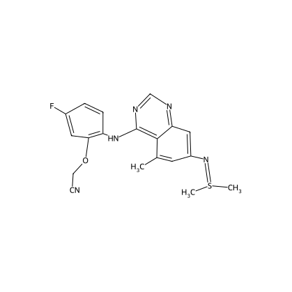 Cc1cc(N=S(C)C)cc2ncnc(Nc3ccc(F)cc3OCC#N)c12